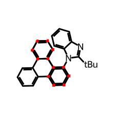 CC(C)(C)c1nc2ccccc2n1-c1ccccc1-c1ccccc1-c1ccccc1-c1ccccc1-c1ccccc1